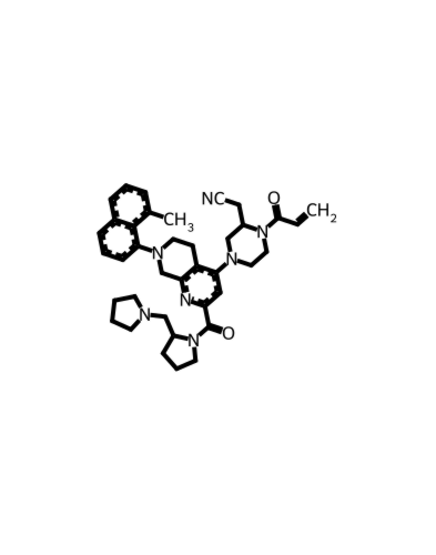 C=CC(=O)N1CCN(c2cc(C(=O)N3CCCC3CN3CCCC3)nc3c2CCN(c2cccc4cccc(C)c24)C3)CC1CC#N